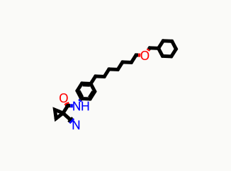 N#CC1(C(=O)Nc2ccc(CCCCCCCOCC3CCCCC3)cc2)CC1